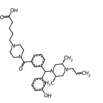 C=CCN1C[C@@H](C)N(C(c2cccc(O)c2)c2cccc(C(=O)N3CCN(CCCCC(=O)O)CC3)c2)C[C@H]1C